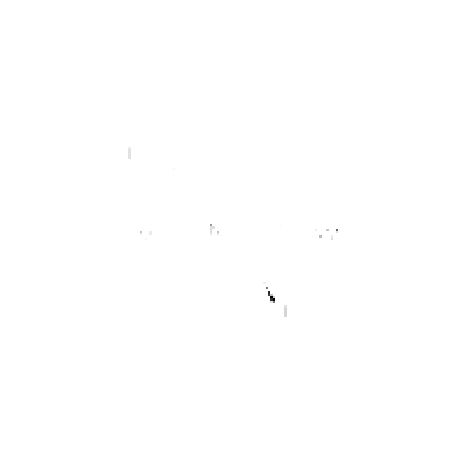 CN[C@H]1CN(C(=O)OC(C)(C)C)C[C@@H]1C